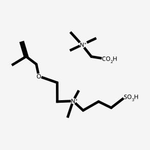 C=C(C)COCC[N+](C)(C)CCCS(=O)(=O)O.C[N+](C)(C)CC(=O)O